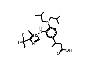 CC1=C(C(F)(F)F)N=C[SH]1Nc1cc(C(C)CC(=O)O)ccc1N(CC(C)C)CC(C)C